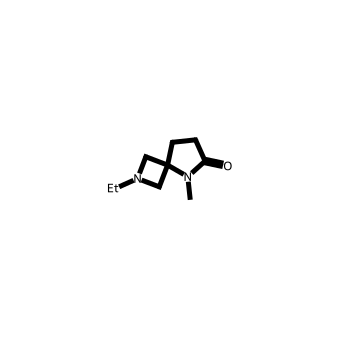 CCN1CC2(CCC(=O)N2C)C1